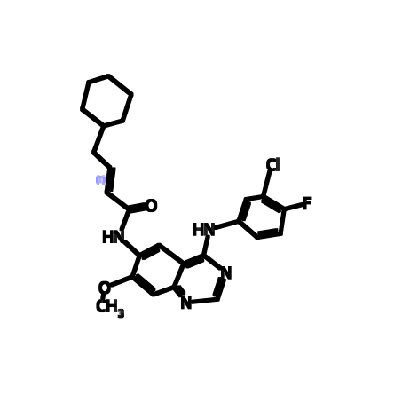 COc1cc2ncnc(Nc3ccc(F)c(Cl)c3)c2cc1NC(=O)/C=C/CC1CCCCC1